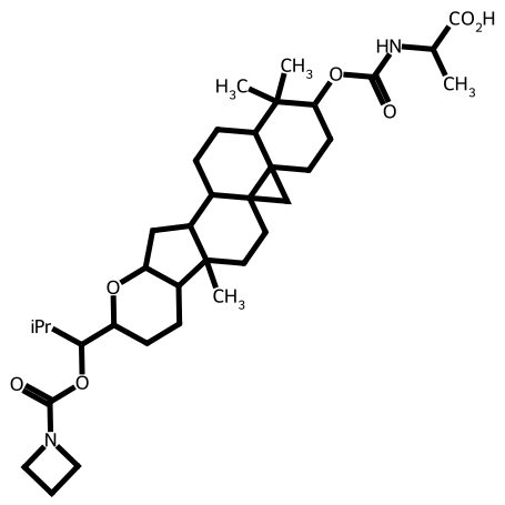 CC(NC(=O)OC1CCC23CC24CCC2(C)C5CCC(C(OC(=O)N6CCC6)C(C)C)OC5CC2C4CCC3C1(C)C)C(=O)O